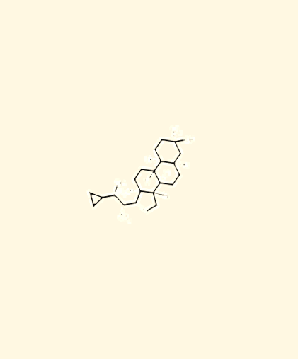 C[C@H]([C@H](O)C1CC1)[C@H]1CC[C@H]2[C@@H]3CC[C@@H]4C[C@@](O)(C(F)(F)F)CC[C@@H]4[C@H]3CC[C@]12C